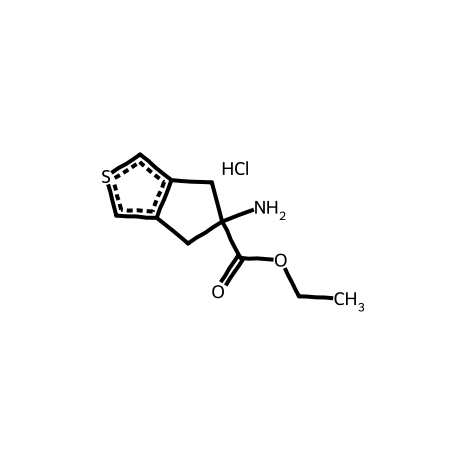 CCOC(=O)C1(N)Cc2cscc2C1.Cl